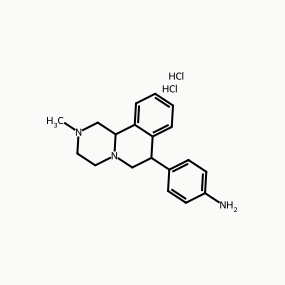 CN1CCN2CC(c3ccc(N)cc3)c3ccccc3C2C1.Cl.Cl